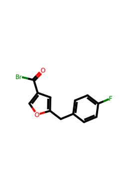 O=C(Br)c1coc(Cc2ccc(F)cc2)c1